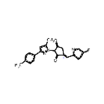 Cc1ccc(-c2cc(C)n(C3C(=O)C/C(=C\c4ccc(F)cn4)C3=O)n2)cc1